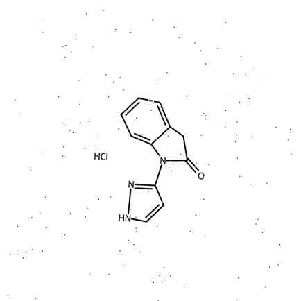 Cl.O=C1Cc2ccccc2N1c1cc[nH]n1